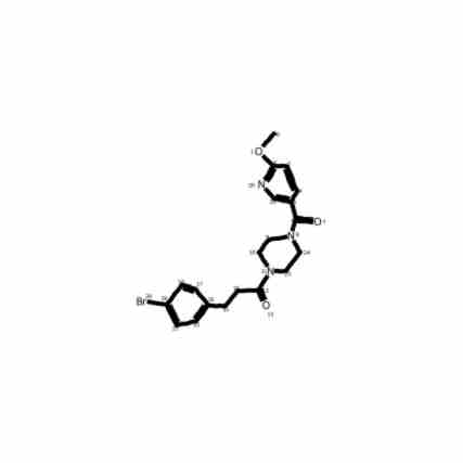 COc1ccc(C(=O)N2CCN(C(=O)CCc3ccc(Br)cc3)CC2)cn1